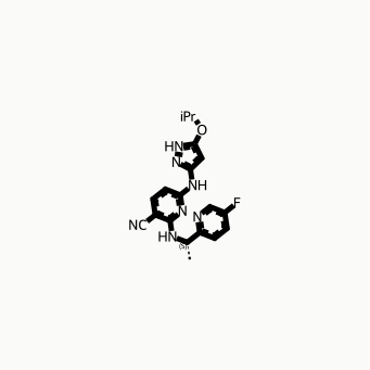 CC(C)Oc1cc(Nc2ccc(C#N)c(N[C@@H](C)c3ccc(F)cn3)n2)n[nH]1